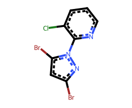 Clc1cccnc1-n1nc(Br)cc1Br